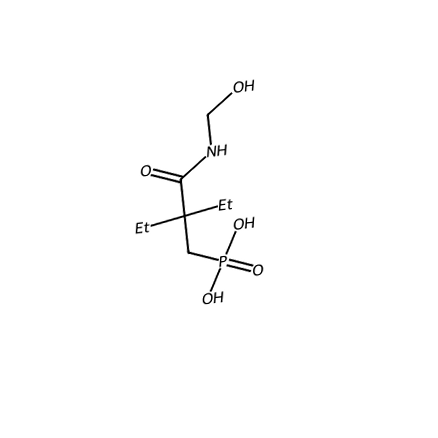 CCC(CC)(CP(=O)(O)O)C(=O)NCO